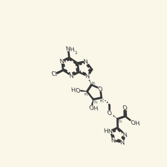 Nc1nc(Cl)nc2c1ncn2[C@@H]1O[C@H](CO[C@H](C(=O)O)c2nnn[nH]2)[C@@H](O)[C@H]1O